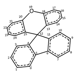 [c]1cccc2c1-c1ccccc1C21c2ccccc2Oc2ccccc21